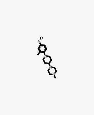 Cc1cc(N=O)ccc1N1CCC(N2CCN(C)CC2)CC1